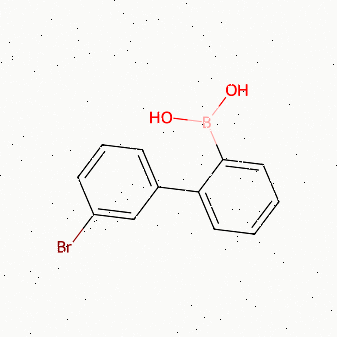 OB(O)c1ccccc1-c1cccc(Br)c1